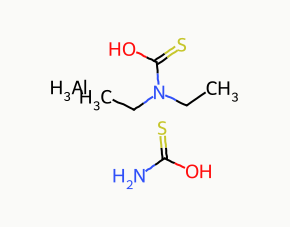 CCN(CC)C(O)=S.NC(O)=S.[AlH3]